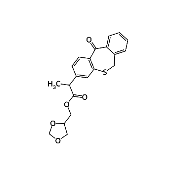 CC(C(=O)OCC1COCO1)c1ccc2c(c1)SCc1ccccc1C2=O